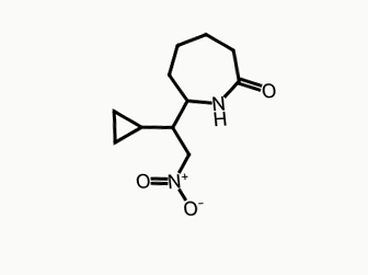 O=C1CCCCC(C(C[N+](=O)[O-])C2CC2)N1